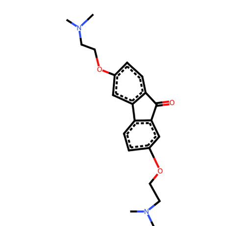 CN(C)CCOc1ccc2c(c1)C(=O)c1ccc(OCCN(C)C)cc1-2